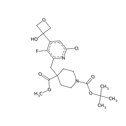 COC(=O)C1(Cc2nc(Cl)cc(C3(O)COC3)c2F)CCN(C(=O)OC(C)(C)C)CC1